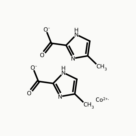 Cc1c[nH]c(C(=O)[O-])n1.Cc1c[nH]c(C(=O)[O-])n1.[Co+2]